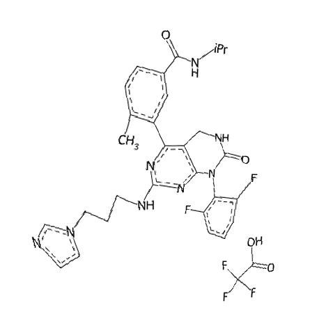 Cc1ccc(C(=O)NC(C)C)cc1-c1nc(NCCCn2ccnc2)nc2c1CNC(=O)N2c1c(F)cccc1F.O=C(O)C(F)(F)F